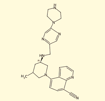 CC1C[C@@H](NCc2cnc(N3CCNCC3)cn2)CN(c2ccc(C#N)c3ncccc23)C1